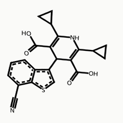 N#Cc1cccc2c(C3C(C(=O)O)=C(C4CC4)NC(C4CC4)=C3C(=O)O)csc12